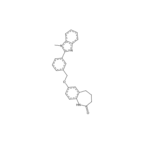 Cn1c(-c2cccc(COc3ccc4c(c3)CCCC(=O)N4)c2)nc2ccccc21